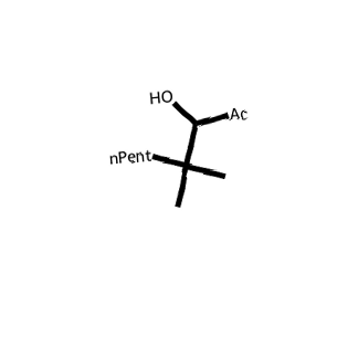 CCCCCC(C)(C)C(O)C(C)=O